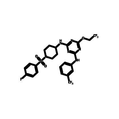 O=S(=O)(c1ccc(F)cc1)N1CCC(Nc2nc(Nc3cccc(C(F)(F)F)c3)nc(OCC(F)(F)F)n2)CC1